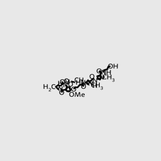 C=CCOC(=O)N1c2cc(OCCCC(=O)Nc3cc(C(=O)Nc4cc(C(=O)NCCCO)n(C)c4)n(C)c3)c(OC)cc2C(=O)N2CC(=C)C[C@H]2C1O